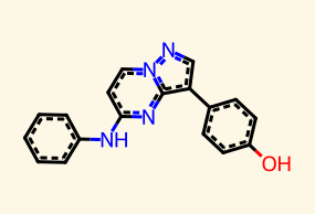 Oc1ccc(-c2cnn3ccc(Nc4ccccc4)nc23)cc1